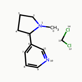 CN1CCCC1c1cccnc1.ClCCl